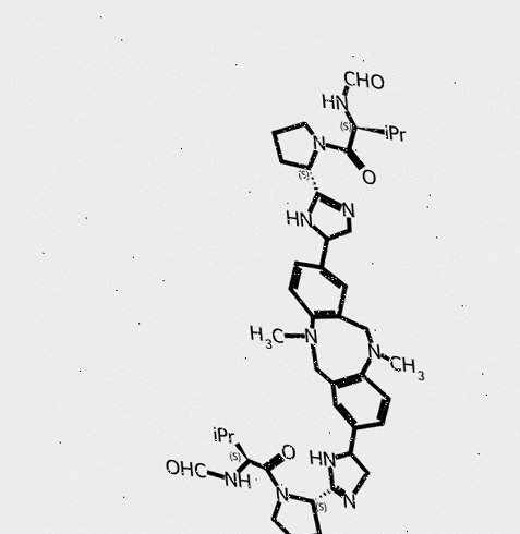 CC(C)[C@H](NC=O)C(=O)N1CCC[C@H]1C1=NCC(c2ccc3c(c2)CN(C)c2ccc(C4CN=C([C@@H]5CCCN5C(=O)[C@@H](NC=O)C(C)C)N4)cc2CN3C)N1